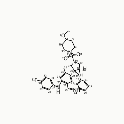 COC1CCN(S(=O)(=O)N2C[C@H]3[C@H](c4ccccc4)[C@@]3(c3cc(C=N)c(Nc4ccc(F)cc4)cc3C)C2)CC1